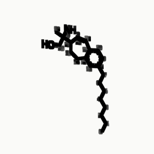 CCCCCCCCc1ccc2c(c1)CCC(C(C)(N)CO)C=C2